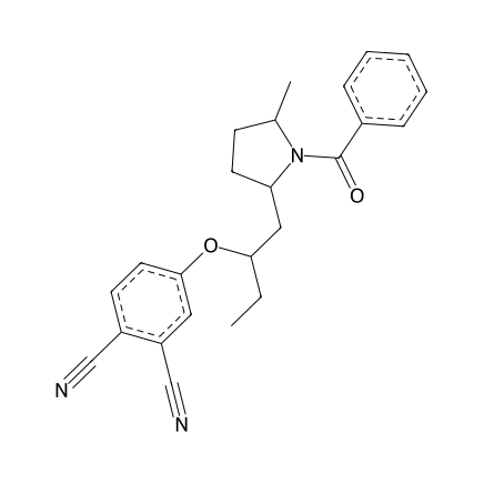 CCC(CC1CCC(C)N1C(=O)c1ccccc1)Oc1ccc(C#N)c(C#N)c1